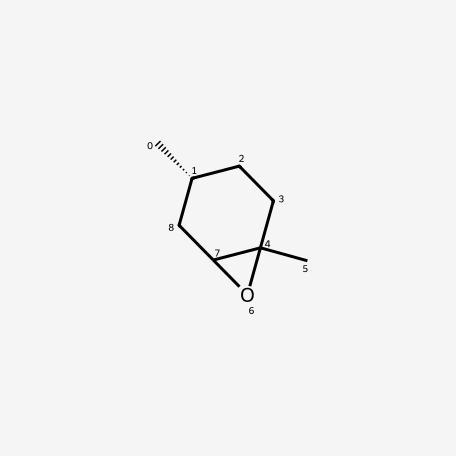 C[C@@H]1CCC2(C)OC2C1